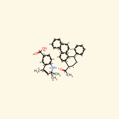 CC(=O)C1CCC(c2ccccc2)c2c1ccc1c2ccc2ccccc21.CC1=CC(C)(C)Nc2ccc(C(=O)O)cc21